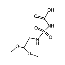 COC(CNS(=O)(=O)NC(=O)O)OC